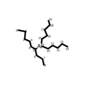 CCCCC[CH](CCC)[Al]([CH2]CCCC)[CH2]CCCC